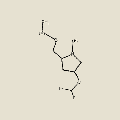 CNOCC1CC(OC(F)F)CN1C